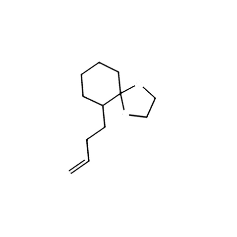 C=CCCC1CCCCC12OCCO2